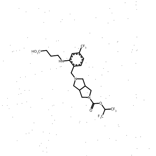 O=C(O)CCCNc1cc(C(F)(F)F)ccc1CN1CC2CN(C(=O)OC(C(F)(F)F)C(F)(F)F)CC2C1